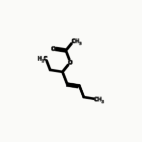 CCC=CC(CC)OC(C)=O